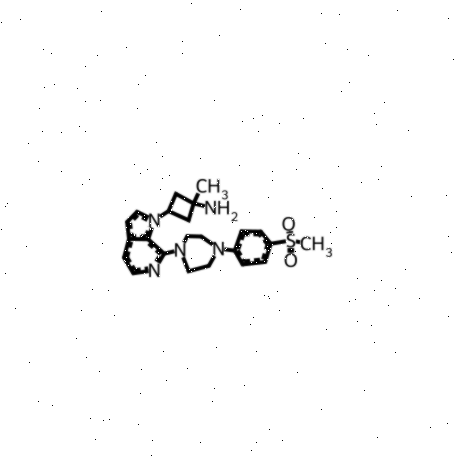 CC1(N)CC(n2ccc3ccnc(N4CCN(c5ccc(S(C)(=O)=O)cc5)CC4)c32)C1